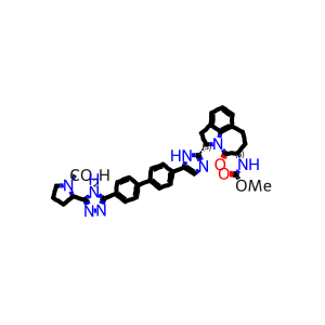 COC(=O)N[C@H]1CCc2cccc3c2N(C1=O)[C@H](c1ncc(-c2ccc(-c4ccc(-c5nnc(C6CCCN6C(=O)O)[nH]5)cc4)cc2)[nH]1)C3